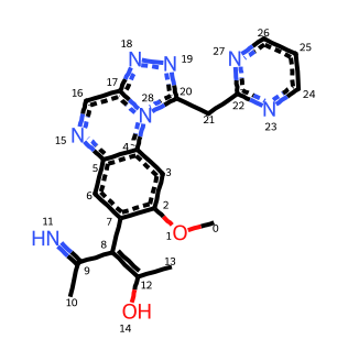 COc1cc2c(cc1/C(C(C)=N)=C(\C)O)ncc1nnc(Cc3ncccn3)n12